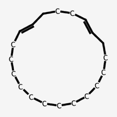 C1=C/CCCCCCCCCCCCC/C=C/CCC/1